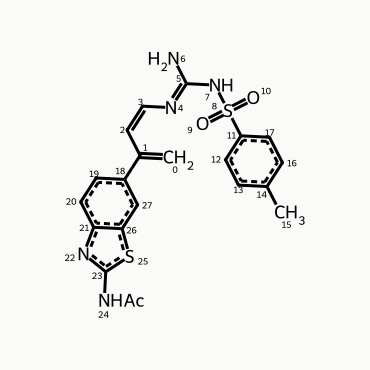 C=C(/C=C\N=C(/N)NS(=O)(=O)c1ccc(C)cc1)c1ccc2nc(NC(C)=O)sc2c1